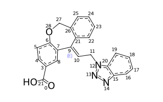 O=C(O)c1ccc2c(c1)/C(=C/Cn1nnc3ccccc31)c1ccccc1CO2